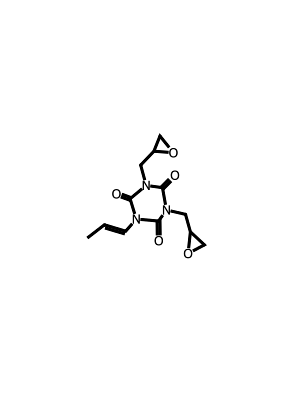 CC=Cn1c(=O)n(CC2CO2)c(=O)n(CC2CO2)c1=O